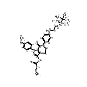 CCOC(=O)Oc1nn(-c2ccc(OC)cc2)c2c1CCN(c1ccc(NCCO[Si](C)(C)C(C)(C)C)cc1)C2=O